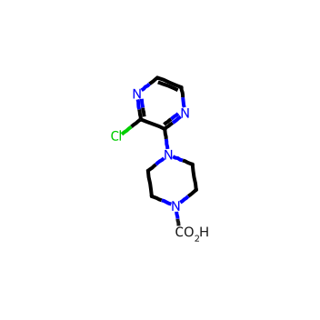 O=C(O)N1CCN(c2nccnc2Cl)CC1